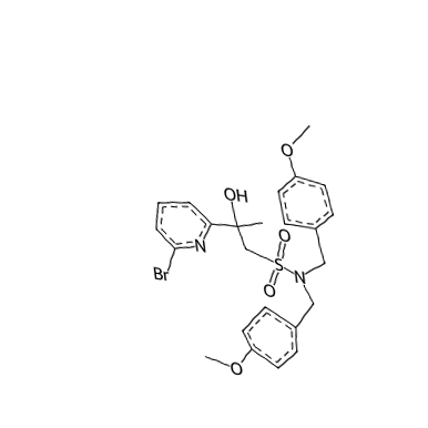 COc1ccc(CN(Cc2ccc(OC)cc2)S(=O)(=O)CC(C)(O)c2cccc(Br)n2)cc1